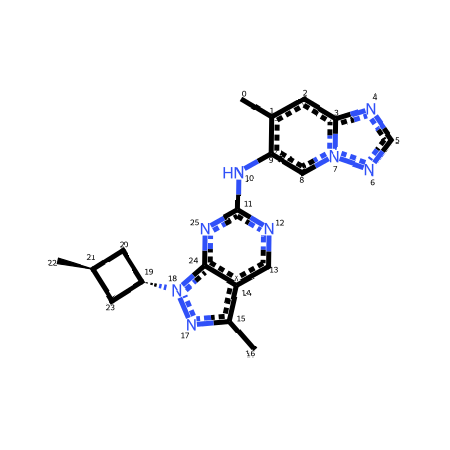 Cc1cc2ncnn2cc1Nc1ncc2c(C)nn([C@H]3C[C@H](C)C3)c2n1